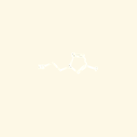 OCCn1cc(F)cn1